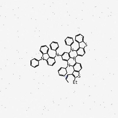 C/C=C\c1c(CC)sc2ccc3c(c12)N(C1C=CC=CC1)c1cc(N(c2ccccc2)c2cccc4c2c2ccccc2n4-c2ccccc2)cc2c1B3c1ccc3sc4ccccc4c3c1N2c1ccccc1